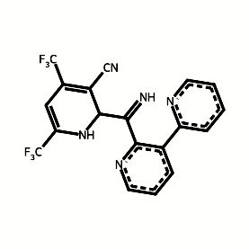 N#CC1=C(C(F)(F)F)C=C(C(F)(F)F)NC1C(=N)c1ncccc1-c1ccccn1